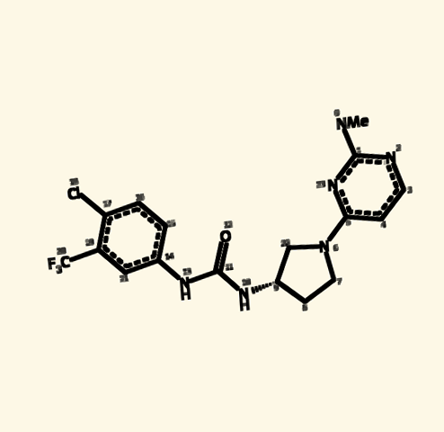 CNc1nccc(N2CC[C@H](NC(=O)Nc3ccc(Cl)c(C(F)(F)F)c3)C2)n1